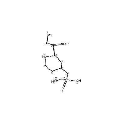 CCCOC(=O)C1CC(CP(=O)(O)O)CCN1